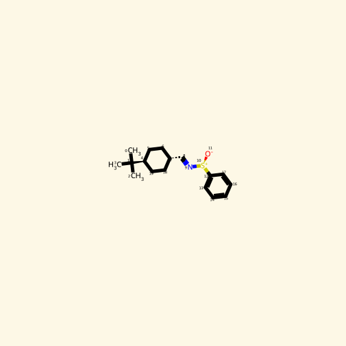 CC(C)(C)[C@H]1CC[C@H](C=N[S@@+]([O-])c2ccccc2)CC1